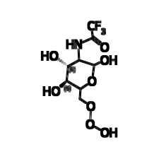 O=C(NC1C(O)OC(COOO)[C@@H](O)[C@@H]1O)C(F)(F)F